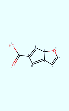 O=C(O)C1=CC2OC=CC2=C1